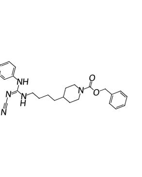 N#C/N=C(\NCCCCC1CCN(C(=O)OCc2ccccc2)CC1)Nc1cccnc1